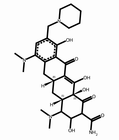 CN(C)c1cc(CN2CCCCC2)c(O)c2c1C[C@H]1C[C@H]3C(N(C)C)C(O)C(C(N)=O)C(=O)[C@@]3(O)C(O)=C1C2=O